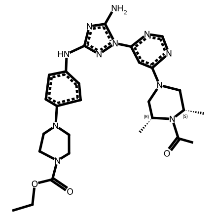 CCOC(=O)N1CCN(c2ccc(Nc3nc(N)n(-c4cc(N5C[C@@H](C)N(C(C)=O)[C@@H](C)C5)ncn4)n3)cc2)CC1